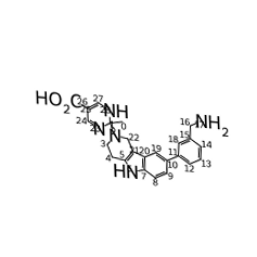 CC1(N2CCc3[nH]c4ccc(-c5cccc(CN)c5)cc4c3C2)N=CC(C(=O)O)=CN1